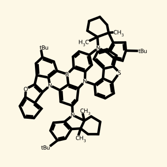 CC(C)(C)c1ccc2c(c1)C1(C)CCCCC1(C)N2c1ccc2c(c1)N(c1cccc3sc4ccccc4c13)c1cc(N3c4ccc(C(C)(C)C)cc4C4(C)CCCCC34C)cc3c1B2c1cc(C(C)(C)C)cc2c4oc5ccccc5c4n-3c12